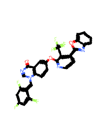 O=c1ncn(Cc2c(F)cc(F)cc2F)c2ccc(Oc3nccc(-c4nc5ccccc5o4)c3C(F)(F)F)cc12